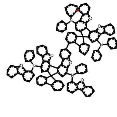 c1ccc(N(c2cccc3c2oc2ccccc23)c2cc3c(c4c2oc2cc(-c5cccc6c5-c5ccccc5C65c6cc(N(c7ccccc7)c7ccccc7)c7c(oc8ccccc87)c6-c6c5cc(N(c5ccccc5)c5ccccc5)c5c6oc6ccccc65)ccc24)-c2c(cc(N(c4ccccc4)c4cccc5c4oc4ccccc45)c4c2oc2ccccc24)C32c3ccccc3-c3ccccc32)cc1